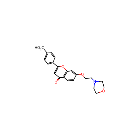 O=C(O)c1ccc(-c2cc(=O)c3ccc(OCCN4CCOCC4)cc3o2)cc1